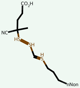 CCCCCCCCCCCC[SH]=C[SH]=[SH]C(C)(C#N)CCC(=O)O